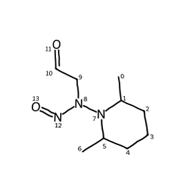 CC1CCCC(C)N1N(CC=O)N=O